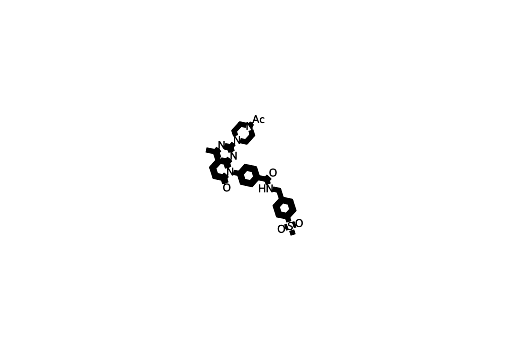 CC(=O)N1CCN(c2nc(C)c3ccc(=O)n(-c4ccc(C(=O)NCc5ccc(S(C)(=O)=O)cc5)cc4)c3n2)CC1